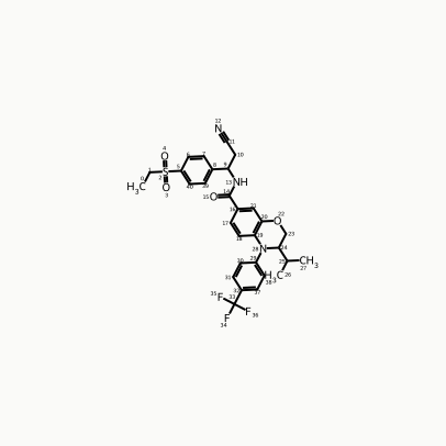 CCS(=O)(=O)c1ccc(C(CC#N)NC(=O)c2ccc3c(c2)OCC(C(C)C)N3c2ccc(C(F)(F)F)cc2)cc1